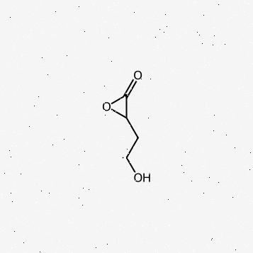 O=C1OC1C[CH]O